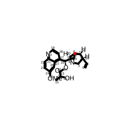 C=C[C@H]1CN2CC[C@H]1C[C@@H]2[C@@H](OC(=O)C(C)O)c1ccnc2ccc(OC)cc12